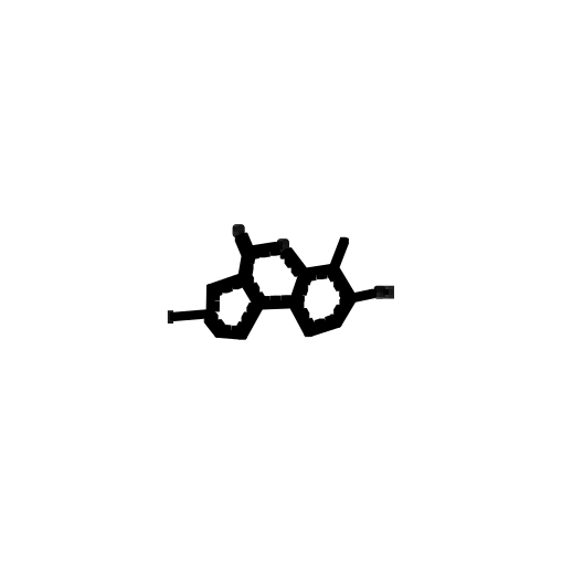 Cc1c(O)ccc2c1oc(=O)c1cc(I)ccc12